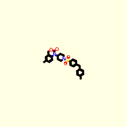 Cc1ccc(Cc2ccc(S(=O)(=O)N3CCC(N4C(=O)OCc5cc(C)ccc54)CC3)cc2)cc1